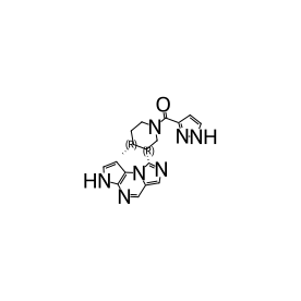 C[C@@H]1CCN(C(=O)c2cc[nH]n2)C[C@@H]1c1ncc2cnc3[nH]ccc3n12